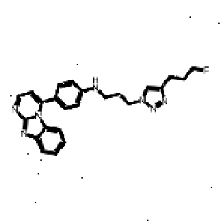 FCCCc1cn(CCCNc2ccc(-c3ccnc4nc5ccccc5n34)cc2)nn1